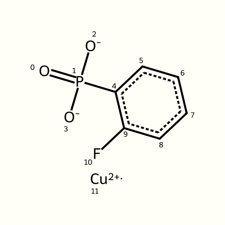 O=P([O-])([O-])c1ccccc1F.[Cu+2]